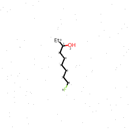 CCC(O)CCCCCCF